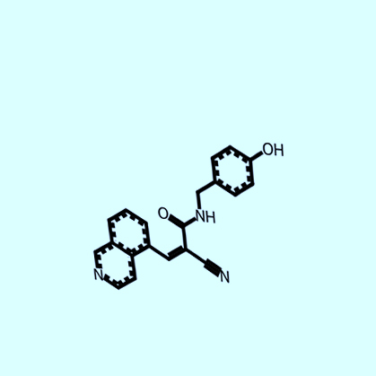 N#CC(=Cc1cccc2cnccc12)C(=O)NCc1ccc(O)cc1